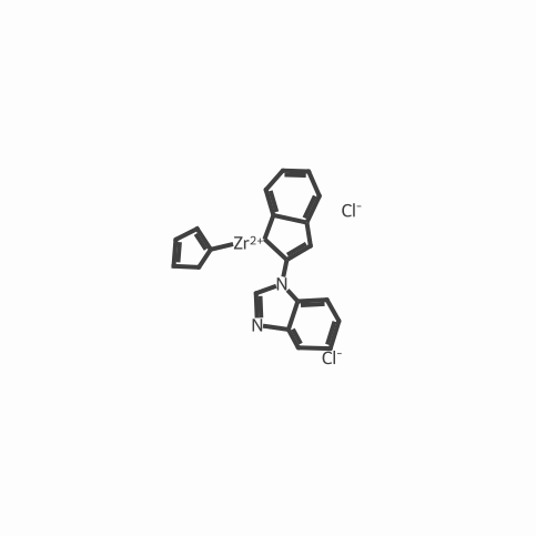 C1=CC[C]([Zr+2][CH]2C(n3cnc4ccccc43)=Cc3ccccc32)=C1.[Cl-].[Cl-]